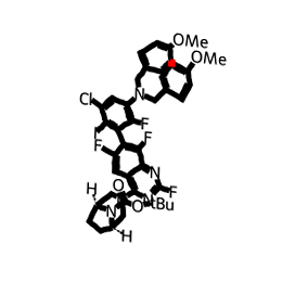 COc1ccc(CN(Cc2ccc(OC)cc2)c2cc(Cl)c(I)c(-c3c(F)cc4c(N5C[C@H]6CC[C@@H](C5)N6C(=O)OC(C)(C)C)nc(F)nc4c3F)c2F)cc1